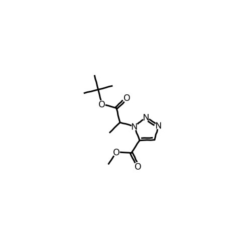 COC(=O)c1cnnn1C(C)C(=O)OC(C)(C)C